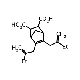 C=C(CC)CC1=C(CC(=C)CC)C2CC1C(C(=O)O)C2C(=O)O